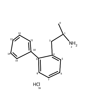 CC(N)Cc1ccccc1-c1ccccc1.Cl